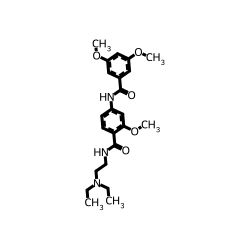 CCN(CC)CCNC(=O)c1ccc(NC(=O)c2cc(OC)cc(OC)c2)cc1OC